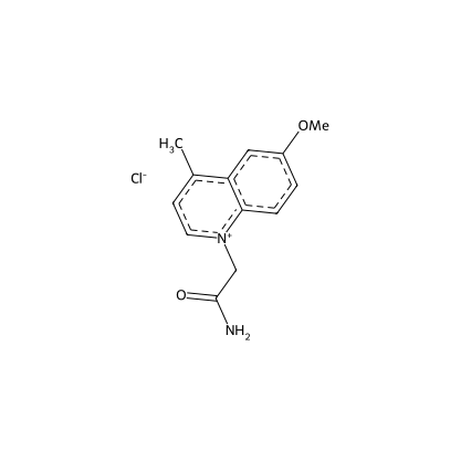 COc1ccc2c(c1)c(C)cc[n+]2CC(N)=O.[Cl-]